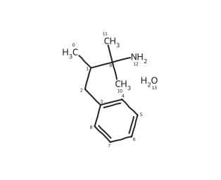 CC(Cc1ccccc1)C(C)(C)N.O